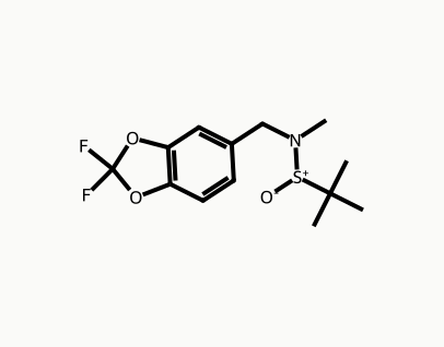 CN(Cc1ccc2c(c1)OC(F)(F)O2)[S+]([O-])C(C)(C)C